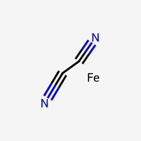 N#CC#N.[Fe]